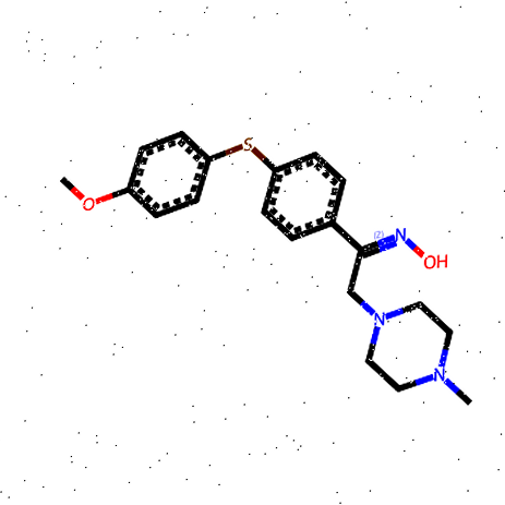 COc1ccc(Sc2ccc(/C(CN3CCN(C)CC3)=N/O)cc2)cc1